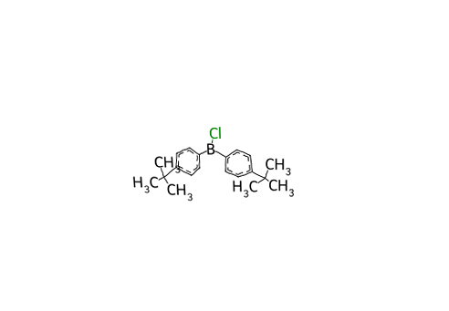 CC(C)(C)c1ccc(B(Cl)c2ccc(C(C)(C)C)cc2)cc1